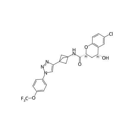 O=C(NC12CC(c3cn(-c4ccc(OC(F)(F)F)cc4)nn3)(C1)C2)[C@H]1C[C@@H](O)c2cc(Cl)ccc2O1